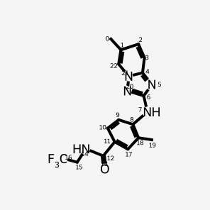 Cc1ccc2nc(Nc3ccc(C(=O)NCC(F)(F)F)cc3C)nn2c1